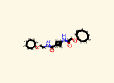 O=C(COC1CCCCCCCC1)NC12CC(C(=O)NCCOC3CCCCCCC3)(C1)C2